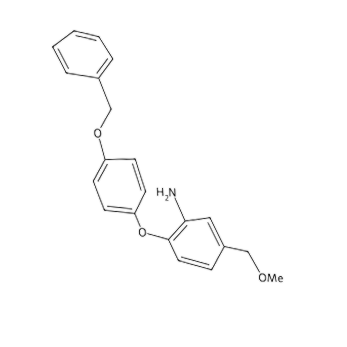 COCc1ccc(Oc2ccc(OCc3ccccc3)cc2)c(N)c1